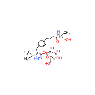 CC(C)c1[nH]nc(O[C@@H]2O[C@H](CO)[C@H](O)[C@H](O)[C@H]2O)c1Cc1ccc(CCCC(=O)N[C@@H](C)CO)cc1